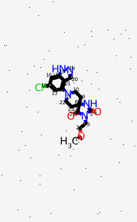 COCCN1C(=O)NC2(CCN(c3cc(Cl)cc4[nH]ncc34)CC2)C1=O